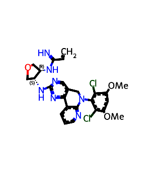 C=CC(=N)N[C@H]1COC[C@H]1Nc1ncc2c(n1)-c1cccnc1N(c1c(Cl)c(OC)cc(OC)c1Cl)C2